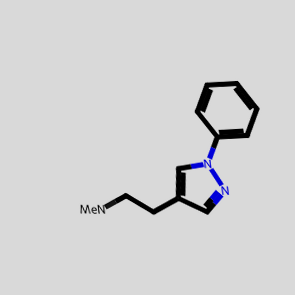 CNCCc1cnn(-c2ccccc2)c1